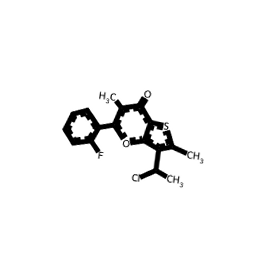 Cc1sc2c(=O)c(C)c(-c3ccccc3F)oc2c1C(C)Cl